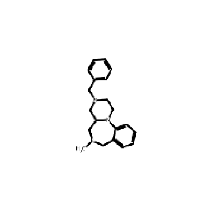 CN1Cc2ccccc2N2CCN(Cc3ccccc3)CC2C1